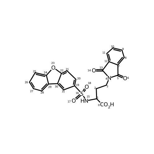 O=C(O)C(CCN1C(=O)c2ccccc2C1=O)NS(=O)(=O)c1ccc2oc3ccccc3c2c1